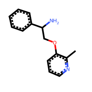 Cc1ncccc1OCC(N)c1ccccc1